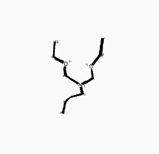 [CH2]CCN(COCC)COCC